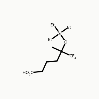 CC[Si](CC)(CC)OC(C)(CCCC(=O)O)C(F)(F)F